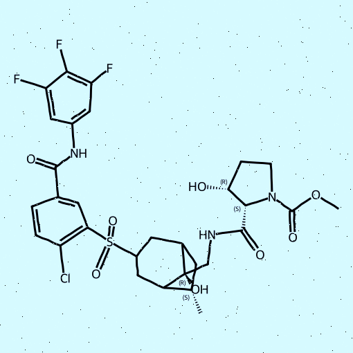 COC(=O)N1CC[C@@H](O)[C@H]1C(=O)NC[C@@]1(O)C2CC(S(=O)(=O)c3cc(C(=O)Nc4cc(F)c(F)c(F)c4)ccc3Cl)CC1[C@@H](C)C2